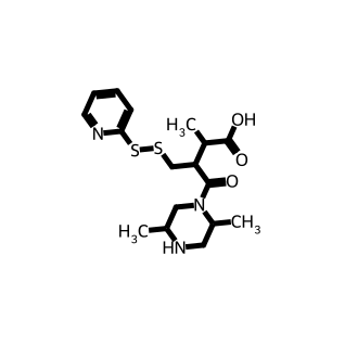 CC1CN(C(=O)C(CSSc2ccccn2)C(C)C(=O)O)C(C)CN1